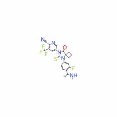 C=C(NC)c1ccc(N2C(=S)N(c3cnc(C#N)c(C(F)(F)F)c3)C(=O)C23CCC3)cc1F